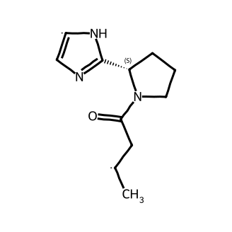 C[CH]CC(=O)N1CCC[C@H]1c1nc[c][nH]1